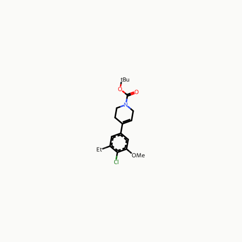 CCc1cc(C2=CCN(C(=O)OC(C)(C)C)CC2)cc(OC)c1Cl